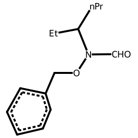 CCCC(CC)N(C=O)OCc1ccccc1